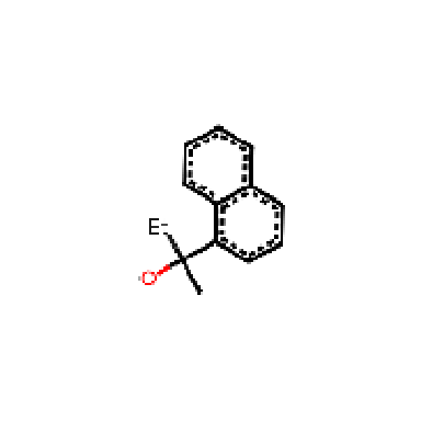 CCC(C)([O])c1cccc2ccccc12